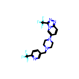 FC(F)(F)c1ccc(CN2CCN(c3ccc4nnc(C(F)(F)F)n4c3)CC2)cn1